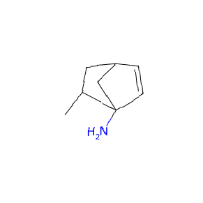 CC1CC2C=CC1(N)C2